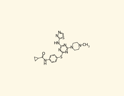 CN1CCN(c2nc(Nc3nncs3)nc(Sc3ccc(NC(=O)C4CC4)cc3)n2)CC1